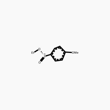 CCO[S@@](=O)c1ccc(OC)cc1